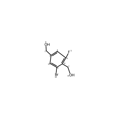 OCc1cc(F)c(CO)c(Br)c1